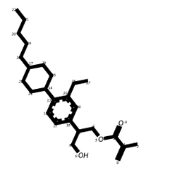 C=C(C)C(=O)OCC(CO)c1ccc(C2CCC(CCCCC)CC2)c(CC)c1